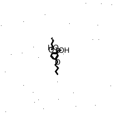 CCCCOc1ccc(OCCCC)c(B(O)O)c1